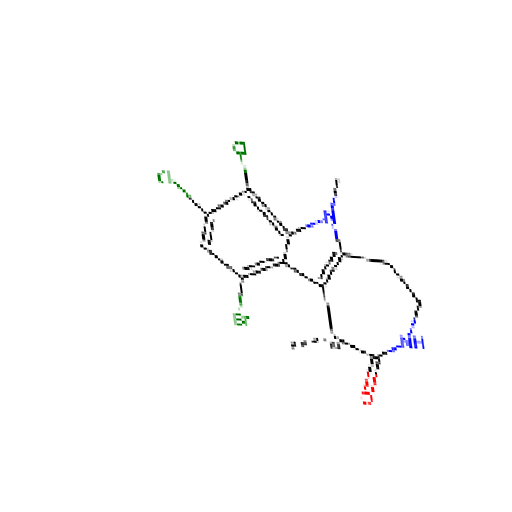 C[C@H]1C(=O)NCCc2c1c1c(Br)cc(Cl)c(Cl)c1n2C